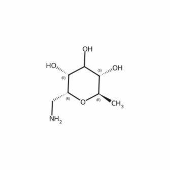 C[C@H]1O[C@H](CN)[C@H](O)C(O)[C@@H]1O